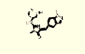 CC(C)C[C@H](CO)NC1=N/C(=C\c2ccc3[nH]ncc3c2)C(=O)N1C